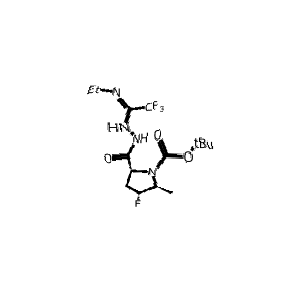 CC/N=C(\NNC(=O)[C@@H]1C[C@@H](F)[C@H](C)N1C(=O)OC(C)(C)C)C(F)(F)F